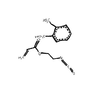 C=CC(=O)OCCN=C=O.O=C(O)c1ccccc1C(=O)O